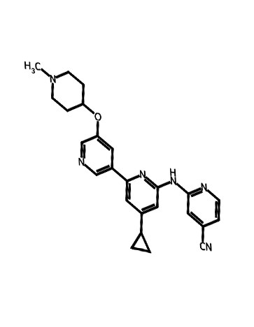 CN1CCC(Oc2cncc(-c3cc(C4CC4)cc(Nc4cc(C#N)ccn4)n3)c2)CC1